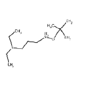 CCN(CC)CCC[SiH2]OC(C)(C)C